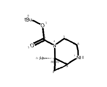 CC(C)(C)OC(=O)N1CCNC2C[C@H]21